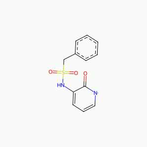 O=C1[N]C=CC=C1NS(=O)(=O)Cc1ccccc1